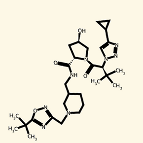 CC(C)(C)c1nc(CN2CCCC(CNC(=O)[C@@H]3C[C@@H](O)CN3C(=O)[C@@H](n3cc(C4CC4)nn3)C(C)(C)C)C2)no1